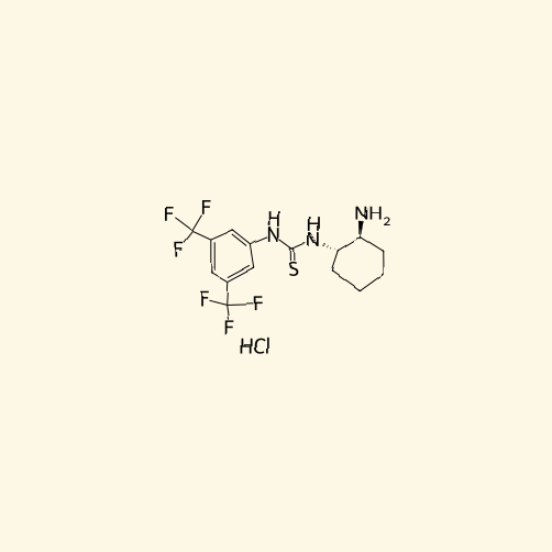 Cl.N[C@H]1CCCC[C@@H]1NC(=S)Nc1cc(C(F)(F)F)cc(C(F)(F)F)c1